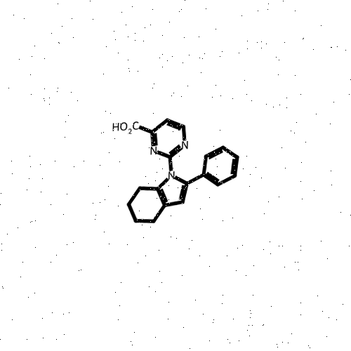 O=C(O)c1ccnc(-n2c(-c3ccccc3)cc3c2CCCC3)n1